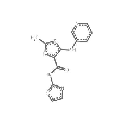 Cc1nc(C(=O)Nc2nccs2)c(Nc2cccnc2)s1